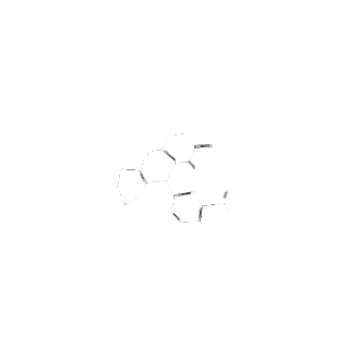 O=C1CCC2=C(C1=O)C(c1cccc([N+](=O)[O-])c1)C1=C(CCCC1)N2